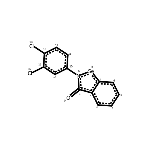 O=c1c2ccccc2[se]n1-c1ccc(Cl)c(Cl)c1